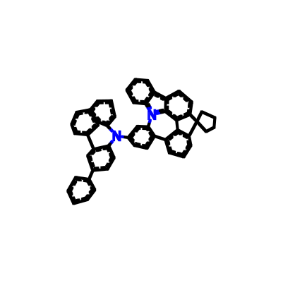 c1ccc(-c2ccc(N(c3ccccc3)c3ccc4c(c3)-n3c5ccccc5c5ccc6c(c53)-c3c-4cccc3C63CCCC3)c(-c3ccccc3)c2)cc1